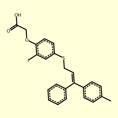 Cc1ccc(C(=CCSc2ccc(OCC(=O)O)c(I)c2)c2ccccc2)cc1